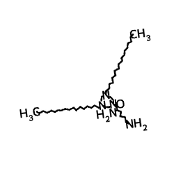 CCCCCCCCCCCCCCCCCCN1CCN(CCCCCCCCCCCCCCCCCC)CCN(C(=O)C(N)CCCCN)CC1